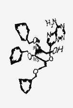 Nc1ncnn2c(C3(O)OC(COCc4ccccc4)[C@@H](OCc4ccccc4)[C@H]3OCc3ccccc3)cnc12